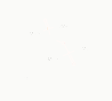 COP(=O)(OC)OC(c1ccc(C(F)(F)F)cc1)P(=O)(OC)OC